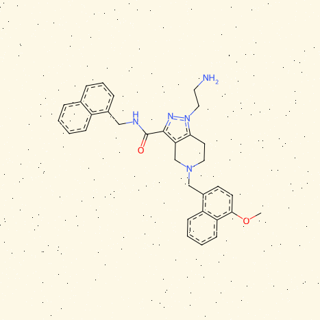 COc1ccc(CN2CCc3c(c(C(=O)NCc4cccc5ccccc45)nn3CCN)C2)c2ccccc12